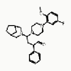 COc1ccc(F)cc1N1CCN(C(CC(C=O)c2ccccc2)N2CC3CCC(C3)C2)CC1